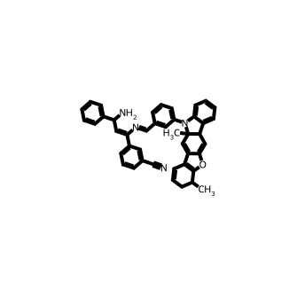 CC1CC=Cc2c1oc1c2=CC2(C)C(C=1)c1ccccc1N2c1cccc(/C=N/C(=C\C(N)c2ccccc2)c2cccc(C#N)c2)c1